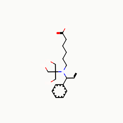 C=CC(c1ccccc1)N(CCCCCC(=O)O)C(CO)(CO)CO